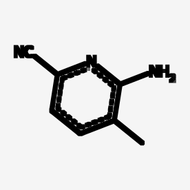 Cc1ccc(C#N)nc1N